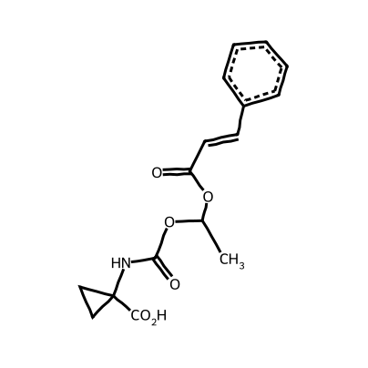 CC(OC(=O)C=Cc1ccccc1)OC(=O)NC1(C(=O)O)CC1